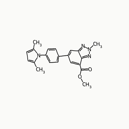 COC(=O)c1cc(-c2ccc(-n3c(C)ccc3C)cc2)cc2nn(C)nc12